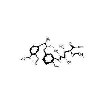 COc1ccc(C[C@H](C)[C@H](C)Cc2ccc(O)c(O[C@H](O)[C@@H](O)[C@H](O)[C@H](OC)C(=O)O)c2)cc1OC